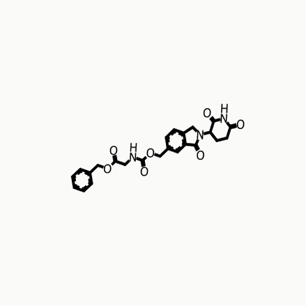 O=C1CCC(N2Cc3ccc(COC(=O)NCC(=O)OCc4ccccc4)cc3C2=O)C(=O)N1